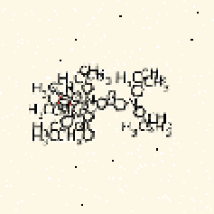 CC(C)(C)c1ccc(N2B3c4oc5cc6c(cc5c4N(c4ccc(C(C)(C)C)cc4-c4ccccc4)c4c3c(cc3c4oc4ccccc43)-c3cc4c(cc32)oc2cc(N(c3ccc(C(C)(C)C)cc3)c3ccc(C(C)(C)C)cc3)ccc24)C(C)(C)CCC6(C)C)cc1